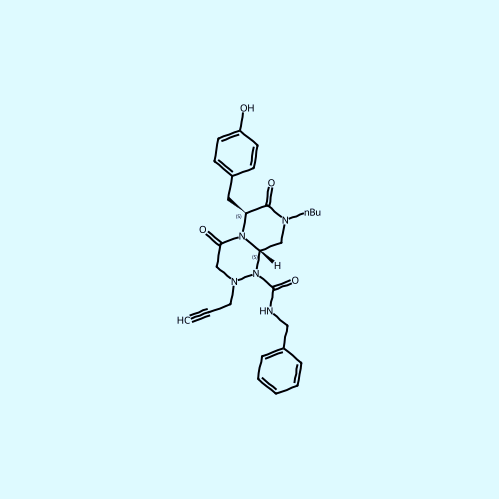 C#CCN1CC(=O)N2[C@@H](Cc3ccc(O)cc3)C(=O)N(CCCC)C[C@@H]2N1C(=O)NCc1ccccc1